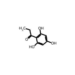 [CH2]CC(=O)c1c(O)cc(O)cc1O